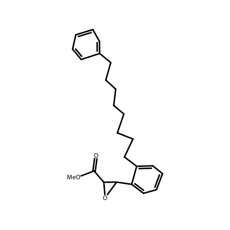 COC(=O)C1OC1c1ccccc1CCCCCCCCc1ccccc1